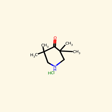 CC1(C)CNCC(C)(C)C1=O.Cl